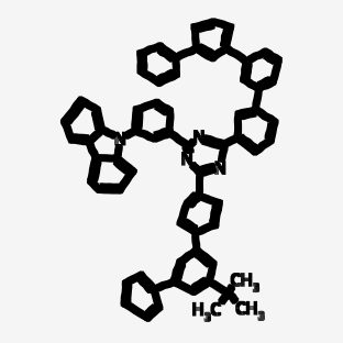 CC(C)(C)c1cc(-c2ccccc2)cc(-c2ccc(-c3nc(-c4cccc(-c5cccc(-c6cccc(-c7ccccc7)c6)c5)c4)nc(-c4cccc(-n5c6ccccc6c6ccccc65)c4)n3)cc2)c1